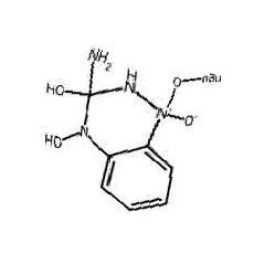 CCCCO[N+]1([O-])NC(N)(O)N(O)c2ccccc21